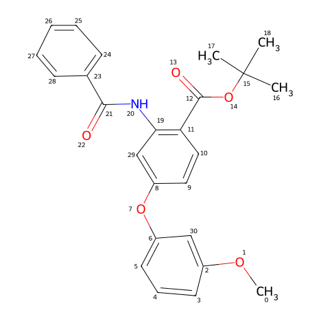 COc1cccc(Oc2ccc(C(=O)OC(C)(C)C)c(NC(=O)c3ccccc3)c2)c1